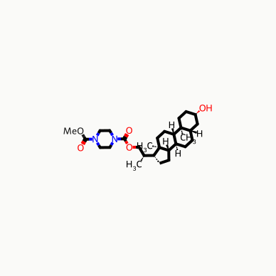 COC(=O)N1CCN(C(=O)OC[C@@H](C)[C@H]2CC[C@H]3[C@@H]4CC[C@H]5C[C@@H](O)CC[C@]5(C)[C@H]4CC[C@]23C)CC1